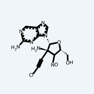 Nc1ncc2ncn([C@@H]3O[C@H](CO)C(N=O)[C@]3(N)C#CCl)c2n1